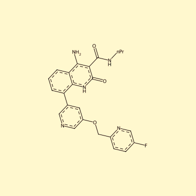 CCCNC(=O)c1c(N)c2cccc(-c3cncc(OCc4ccc(F)cn4)c3)c2[nH]c1=O